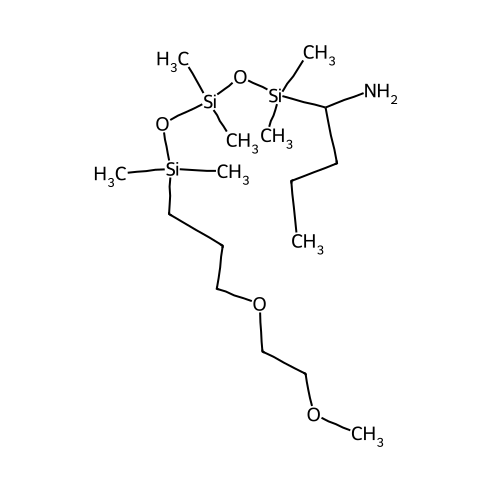 CCCC(N)[Si](C)(C)O[Si](C)(C)O[Si](C)(C)CCCOCCOC